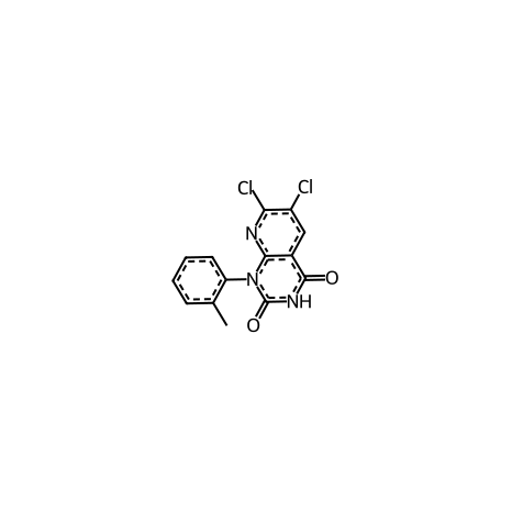 Cc1ccccc1-n1c(=O)[nH]c(=O)c2cc(Cl)c(Cl)nc21